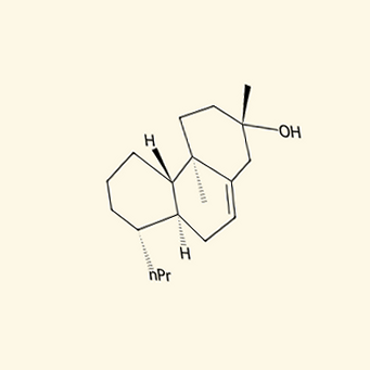 CCC[C@@H]1CCC[C@H]2[C@H]1CC=C1C[C@@](C)(O)CC[C@@]12C